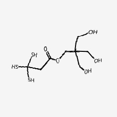 O=C(CC(S)(S)S)OCC(CO)(CO)CO